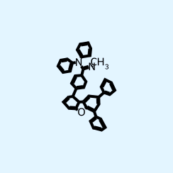 C/N=C(/C1C=CC(C2C=CC=C3Oc4c(-c5ccccc5)cc(-c5ccccc5)cc4C32)=CC1)N(c1ccccc1)c1ccccc1